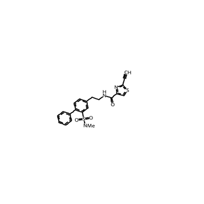 C#Cc1nc(C(=O)NCCc2ccc(-c3ccccc3)c(S(=O)(=O)NC)c2)cs1